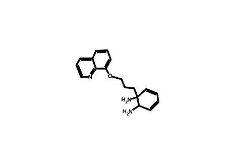 NC1C=CC=CC1(N)CCCOc1cccc2cccnc12